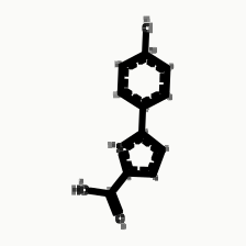 O=C(O)c1ccc(-c2ccc(Cl)cc2)s1